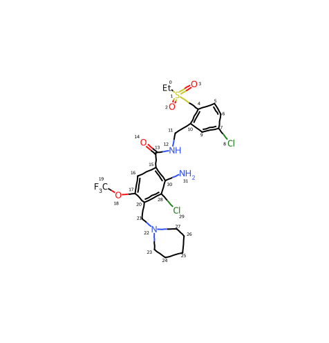 CCS(=O)(=O)c1ccc(Cl)cc1CNC(=O)c1cc(OC(F)(F)F)c(CN2CCCCC2)c(Cl)c1N